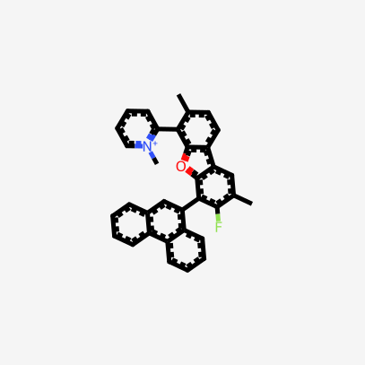 Cc1cc2c(oc3c(-c4cccc[n+]4C)c(C)ccc32)c(-c2cc3ccccc3c3ccccc23)c1F